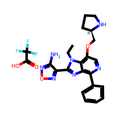 CCn1c(-c2nonc2N)nc2c(-c3ccccc3)ncc(OC[C@H]3CCCN3)c21.O=C(O)C(F)(F)F